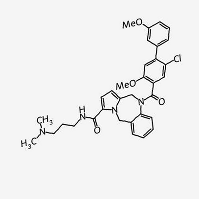 COc1cccc(-c2cc(OC)c(C(=O)N3Cc4ccc(C(=O)NCCCN(C)C)n4Cc4ccccc43)cc2Cl)c1